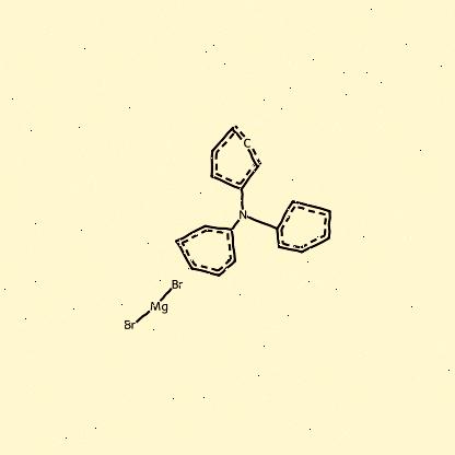 [Br][Mg][Br].[c]1ccc(N(c2ccccc2)c2ccccc2)cc1